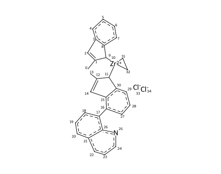 CC1=Cc2ccccc2[CH]1[Zr+2]1([CH]2C(C)=Cc3c(-c4cccc5cccnc45)cccc32)[CH2][CH2]1.[Cl-].[Cl-]